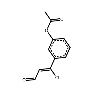 CC(=O)Oc1cccc(C(Cl)=CC=O)c1